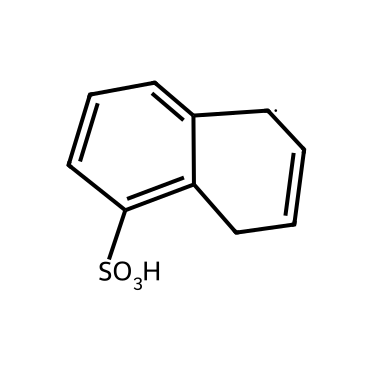 O=S(=O)(O)c1cccc2c1CC=C[CH]2